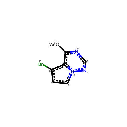 COc1ncnn2ccc(Br)c12